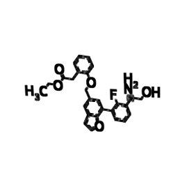 CCOC(=O)Cc1ccccc1OCc1cc(-c2cccc([C@H](N)CO)c2F)c2occc2c1